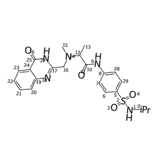 CC(C)NS(=O)(=O)c1ccc(NC(=O)C(C)N(C)Cc2nc3ccccc3c(=O)[nH]2)cc1